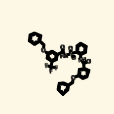 O=C(Nc1ccccc1S(=O)(=O)NC(=O)c1cc(OCc2ccccc2)cc(C(F)(F)F)c1)c1cccc(OCc2ccccc2)c1